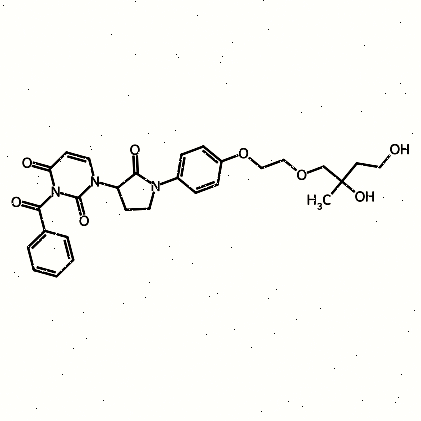 CC(O)(CCO)COCCOc1ccc(N2CCC(n3ccc(=O)n(C(=O)c4ccccc4)c3=O)C2=O)cc1